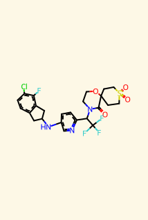 O=C1N(C(c2ccc(NC3Cc4ccc(Cl)c(F)c4C3)cn2)C(F)(F)F)CCOC12CCS(=O)(=O)CC2